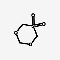 O=S1(=O)COCOC1